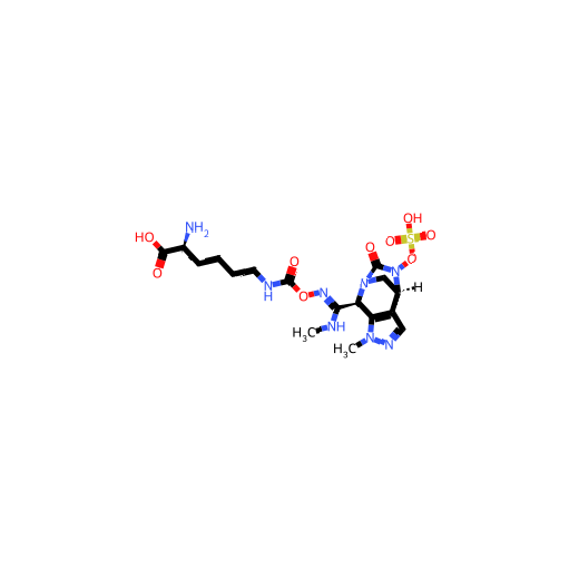 CN/C(=N\OC(=O)NCCCC[C@H](N)C(=O)O)[C@@H]1c2c(cnn2C)[C@H]2CN1C(=O)N2OS(=O)(=O)O